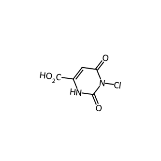 O=C(O)c1cc(=O)n(Cl)c(=O)[nH]1